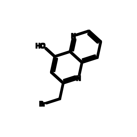 Oc1cc(CBr)nc2cccnc12